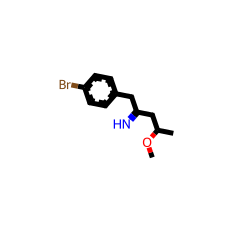 COC(C)CC(=N)Cc1ccc(Br)cc1